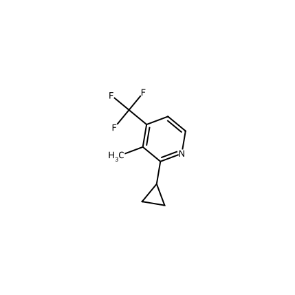 Cc1c(C(F)(F)F)ccnc1C1CC1